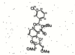 COC=C(Oc1cccc(OCc2cccc(Cl)c2)c1C(=O)OC(C)(C)C)C(=O)OC